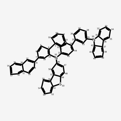 c1ccc(-c2ccc(-c3ccc4ccccc4c3)cc2N(c2ccc(-c3cccc(-n4c5ccccc5c5ccccc54)c3)cc2)c2ccc3sc4ccccc4c3c2)cc1